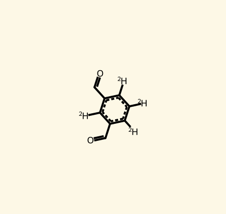 [2H]c1c([2H])c(C=O)c([2H])c(C=O)c1[2H]